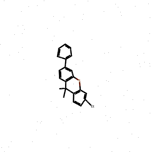 CCc1ccc2c(c1)Sc1cc(-c3ccccc3)ccc1C2(C)C